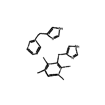 Cc1cc(C)c(C)c(Cc2c[nH]cn2)c1C.c1ccc(Cc2c[nH]cn2)cc1